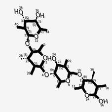 CC1OC(O[C@H]2C(C)OC(O[C@H]3C(C)OC(O)C(C)[C@@H]3C)C(C)[C@@H]2O)C(C)[C@H](C)C1O[C@@H]1OC(C)[C@@H](O)[C@@H](O)C1C